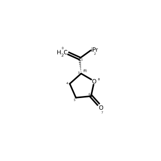 C=C(C(C)C)[C@H]1CCC(=O)O1